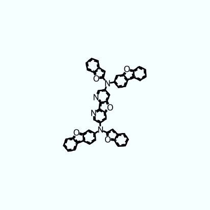 c1ccc2oc(N(c3ccc4c(c3)oc3ccccc34)c3cnc4c(c3)oc3cc(N(c5ccc6c(c5)oc5ccccc56)c5cc6ccccc6o5)cnc34)cc2c1